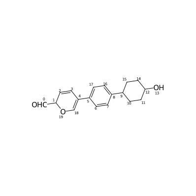 O=CC1C=CC(c2ccc(C3CCC(O)CC3)cc2)=CO1